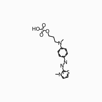 CN(CCCOS(=O)(=O)O)c1ccc(N=Nc2scc[n+]2C)cc1